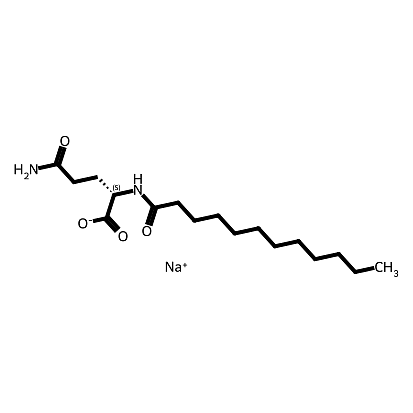 CCCCCCCCCCCC(=O)N[C@@H](CCC(N)=O)C(=O)[O-].[Na+]